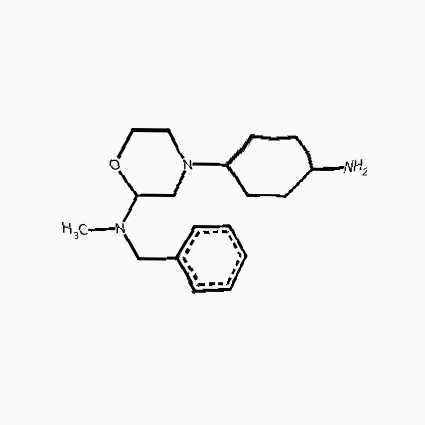 CN(Cc1ccccc1)C1CN(C2CCC(N)CC2)CCO1